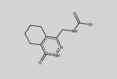 CCC(=O)NCc1n[nH]c(=O)c2c1CCCC2